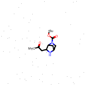 COC(=O)CC1NC2CC1N(C(=O)OC(C)(C)C)C2